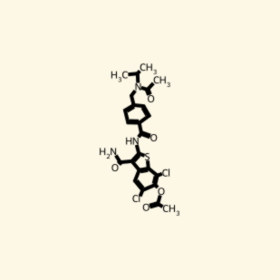 CC(=O)Oc1c(Cl)cc2c(C(N)=O)c(NC(=O)c3ccc(CN(C(C)=O)C(C)C)cc3)sc2c1Cl